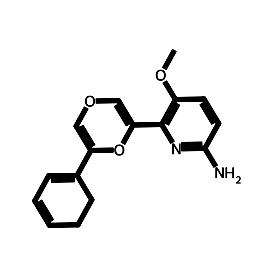 COc1ccc(N)nc1C1=COC=C(C2=CC=CCC2)O1